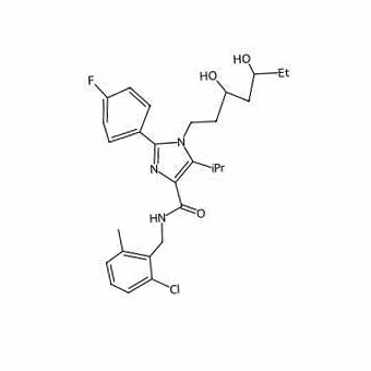 [CH2]CC(O)CC(O)CCn1c(-c2ccc(F)cc2)nc(C(=O)NCc2c(C)cccc2Cl)c1C(C)C